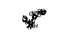 Cc1n[nH]c2nc(-c3ccc(NS(=O)(=O)c4ccccn4)c(Cl)c3)nc(OC3CCN(C)CC3)c12